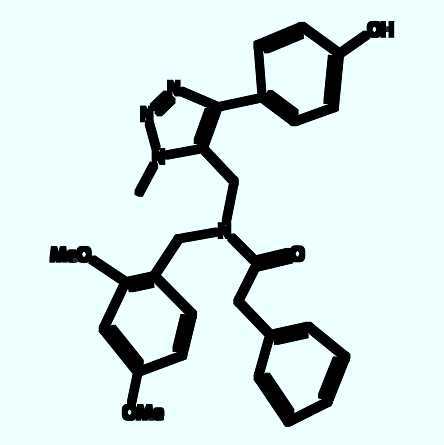 COc1ccc(CN(Cc2c(-c3ccc(O)cc3)nnn2C)C(=O)Cc2ccccc2)c(OC)c1